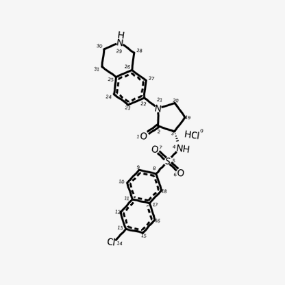 Cl.O=C1[C@@H](NS(=O)(=O)c2ccc3cc(Cl)ccc3c2)CCN1c1ccc2c(c1)CNCC2